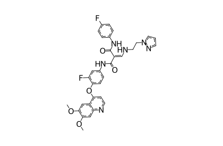 COc1cc2nccc(Oc3ccc(NC(=O)/C(=C/NCCn4cccn4)C(=O)Nc4ccc(F)cc4)cc3F)c2cc1OC